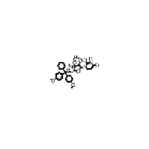 [2H][C@@]1(O)[C@@H](COC(c2ccccc2)(c2ccc(OC)cc2)c2ccc(OC)cc2)O[C@@H](n2ccc(=O)[nH]c2=O)[C@@H]1OC